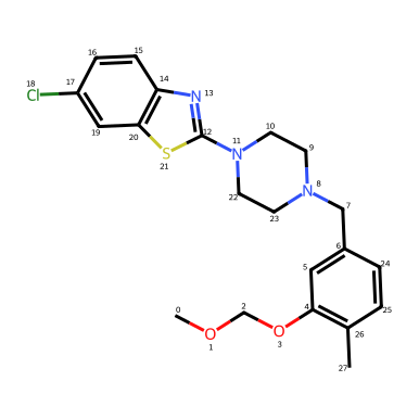 COCOc1cc(CN2CCN(c3nc4ccc(Cl)cc4s3)CC2)ccc1C